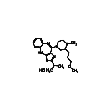 COCCCC1CN(C2=Nc3ccccc3Nc3sc(C(C)C)nc32)CCN1C.Cl